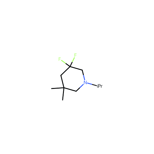 CC(C)N1CC(C)(C)CC(F)(F)C1